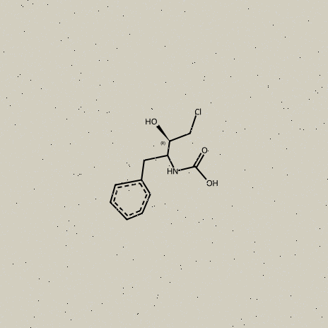 O=C(O)NC(Cc1ccccc1)[C@@H](O)CCl